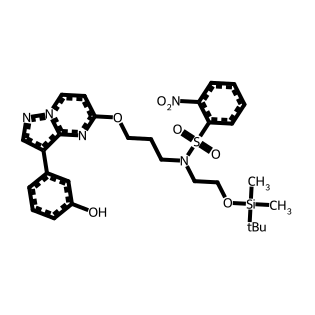 CC(C)(C)[Si](C)(C)OCCN(CCCOc1ccn2ncc(-c3cccc(O)c3)c2n1)S(=O)(=O)c1ccccc1[N+](=O)[O-]